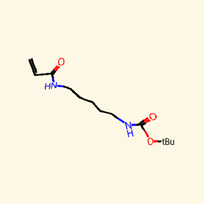 C=CC(=O)NCCCCCNC(=O)OC(C)(C)C